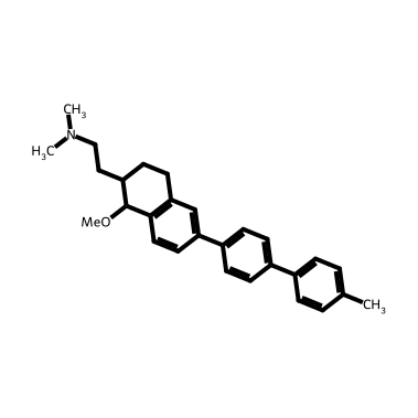 COC1c2ccc(-c3ccc(-c4ccc(C)cc4)cc3)cc2CCC1CCN(C)C